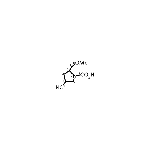 COCC1CC(C#N)CN1C(=O)O